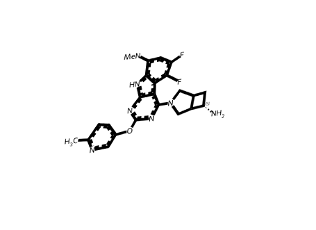 CNc1cc(F)c(F)c2c1[nH]c1nc(Oc3ccc(C)nc3)nc(N3CC4C[C@H](N)C4C3)c12